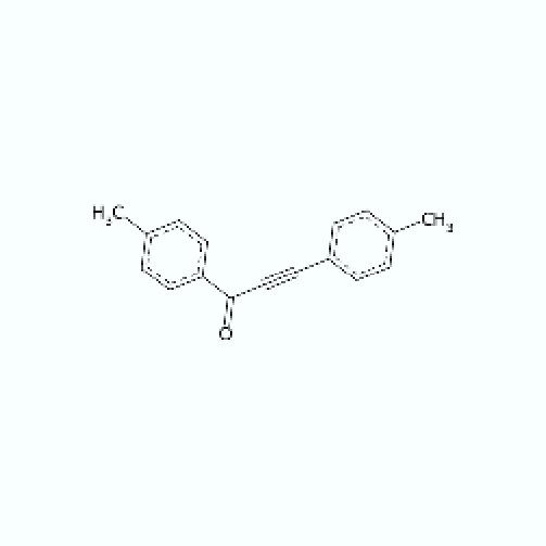 Cc1ccc(C#CC(=O)c2ccc(C)cc2)cc1